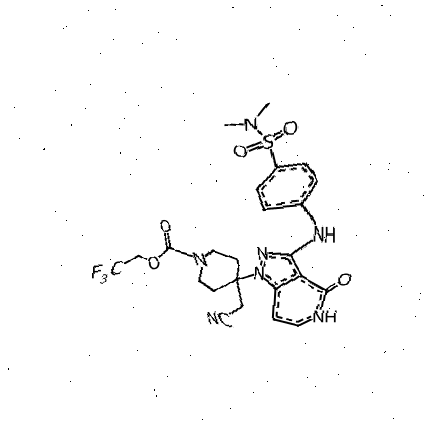 CN(C)S(=O)(=O)c1ccc(Nc2nn(C3(CC#N)CCN(C(=O)OCC(F)(F)F)CC3)c3cc[nH]c(=O)c23)cc1